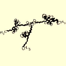 CC/C=C\CC1C=CC(C(CCCCCCCC(=O)OCC(COC(=O)CCCCCCCC(C2CC(=O)OC2=O)C2C=CC(CCCCC)C3C(=O)OC(=O)C23)OC(=O)CCCCCCCC(/C=C/CCCCCCC)C2CC(=O)OC2=O)C2CC(=O)OC2=O)C2C(=O)OC(=O)C12